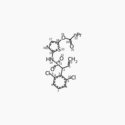 C=CC(c1c(Cl)cccc1Cl)S(=O)(=O)Nc1ncc(OC(=O)CCC)s1